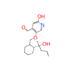 CCCC(C)(O)C1CCCCC1COc1cnc(O)cc1C=O